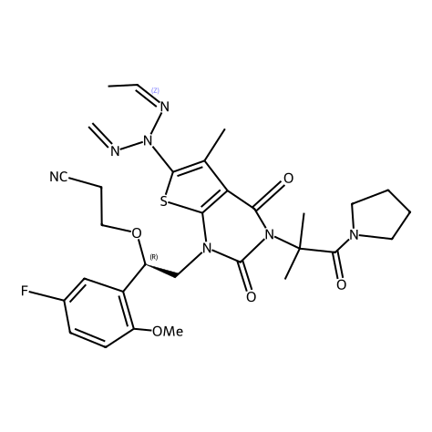 C=NN(/N=C\C)c1sc2c(c1C)c(=O)n(C(C)(C)C(=O)N1CCCC1)c(=O)n2C[C@H](OCCC#N)c1cc(F)ccc1OC